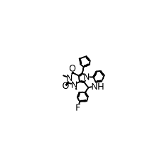 Cn1c(=O)c2c(-c3ccccc3)n3c(c2n(C)c1=O)C(c1ccc(F)cc1)Nc1ccccc1-3